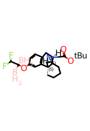 BC(B)(Oc1ccc2c(c1)[C@]13CCCC[C@@H]1[C@H](C2)N(C(=O)OC(C)(C)C)CC3)C(F)F